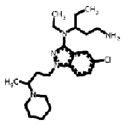 CCC(CCN)N(CC)c1nn(CCC(C)N2CCCCC2)c2ccc(Cl)cc12